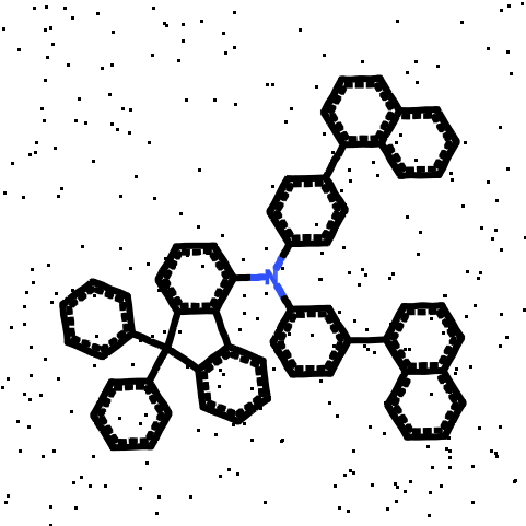 c1ccc(C2(c3ccccc3)c3ccccc3-c3c(N(c4ccc(-c5cccc6ccccc56)cc4)c4cccc(-c5cccc6ccccc56)c4)cccc32)cc1